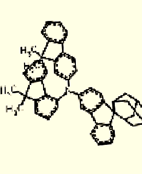 CC1(C)c2ccccc2-c2ccc(N(c3ccc4c(c3)-c3ccccc3C43C4CC5CC(C4)CC3C5)c3cccc4c3-c3ccccc3C4(C)C)cc21